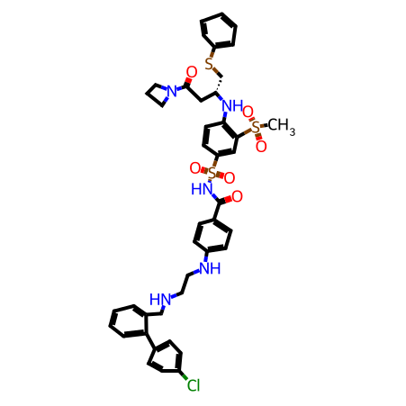 CS(=O)(=O)c1cc(S(=O)(=O)NC(=O)c2ccc(NCCNCc3ccccc3-c3ccc(Cl)cc3)cc2)ccc1N[C@@H](CSc1ccccc1)CC(=O)N1CCC1